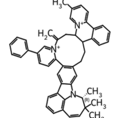 C=C1CC2C(CCc3cc4c(cc3-c3ccc(-c5ccccc5)c[n+]31)c1cccc3c1n4[C@H](C)C(C)(C)C=C3)c1ccccc1-c1ccc(C)c[n+]12